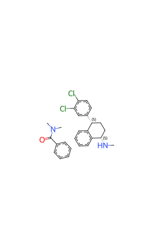 CN(C)C(=O)c1ccccc1.CN[C@H]1CC[C@@H](c2ccc(Cl)c(Cl)c2)c2ccccc21